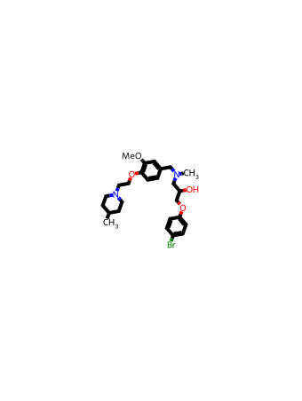 COc1cc(CN(C)CC(O)COc2ccc(Br)cc2)ccc1OCCN1CCC(C)CC1